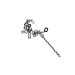 CCCCCCCCCCCCCCCCCCOC[C@@H](CCc1ccccc1)COP(=O)(O)OC[C@H]1O[C@@](C#N)(c2ccc3c(N)ccnn23)[C@H](O)[C@@H]1O